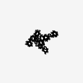 Cc1nn(C2CCCCO2)c2nc(-c3ccc(OCc4ccccc4)cc3F)cc(C(=O)NC3(c4ccccc4)CCN(Cc4ccccc4)CC3)c12